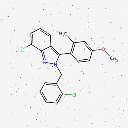 COc1ccc(-c2c3cccc(F)c3nn2Cc2ccccc2Cl)c(C)c1